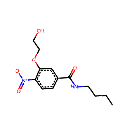 CCCCNC(=O)c1ccc([N+](=O)[O-])c(OCCO)c1